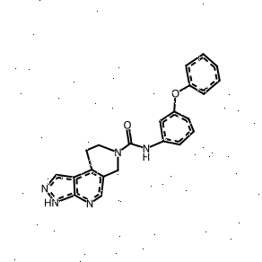 O=C(Nc1cccc(Oc2ccccc2)c1)N1CCc2c(cnc3[nH]ncc23)C1